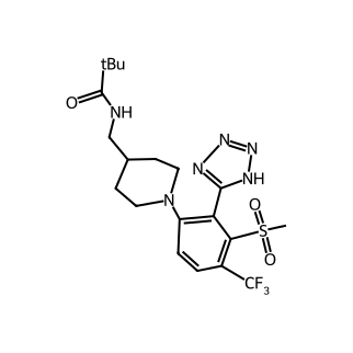 CC(C)(C)C(=O)NCC1CCN(c2ccc(C(F)(F)F)c(S(C)(=O)=O)c2-c2nnn[nH]2)CC1